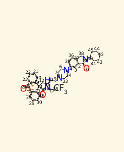 O=C1c2cc(N3CCN(CCCCC4(C(=O)NCC(F)(F)F)c5ccccc5[S+]([O-])c5ccccc54)CC3)ccc2CN1C1CCCCC1